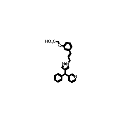 O=C(O)COc1cccc(C=CCn2cc(C(c3ccccc3)c3cccnc3)cn2)c1